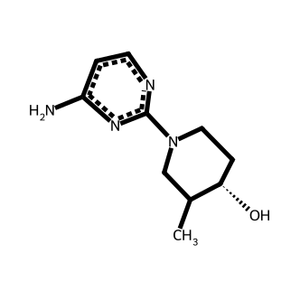 CC1CN(c2nccc(N)n2)CC[C@@H]1O